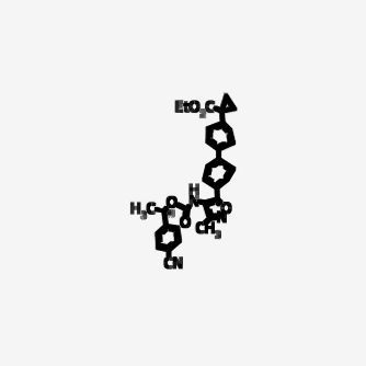 CCOC(=O)C1(c2ccc(-c3ccc(-c4onc(C)c4NC(=O)O[C@H](C)c4ccc(C#N)cc4)cc3)cc2)CC1